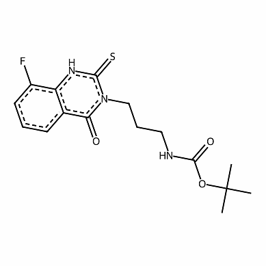 CC(C)(C)OC(=O)NCCCn1c(=S)[nH]c2c(F)cccc2c1=O